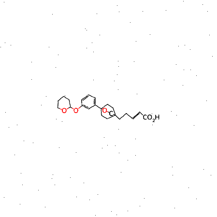 O=C(O)C=CCCC12CCC(c3cccc(OC4CCCCO4)c3)(CC1)OC2